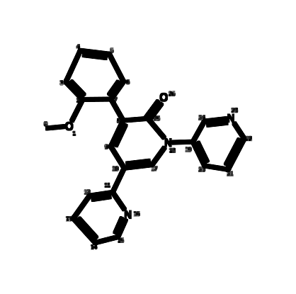 COc1ccccc1-c1cc(-c2ccccn2)cn(-c2cccnc2)c1=O